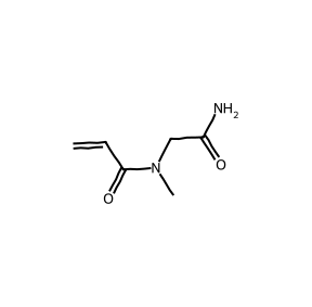 C=CC(=O)N(C)CC(N)=O